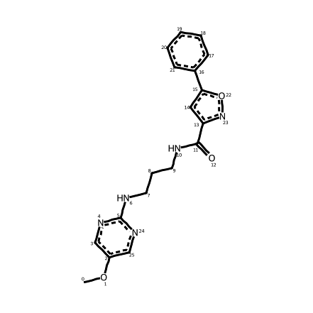 COc1cnc(NCCCNC(=O)c2cc(-c3ccccc3)on2)nc1